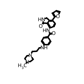 CN1CCN(CCCNc2ccc(C(=O)Nc3ccc(-c4ccco4)c4c3C(=O)NC4)cc2)CC1